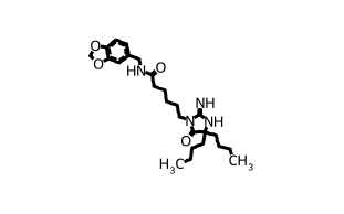 CCCCC1(CCCC)NC(=N)N(CCCCCC(=O)NCc2ccc3c(c2)OCO3)C1=O